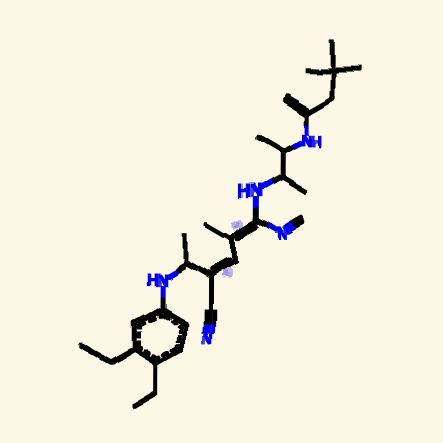 C=N/C(NC(C)C(C)NC(=C)CC(C)(C)C)=C(C)\C=C(\C#N)C(C)Nc1ccc(CC)c(CC)c1